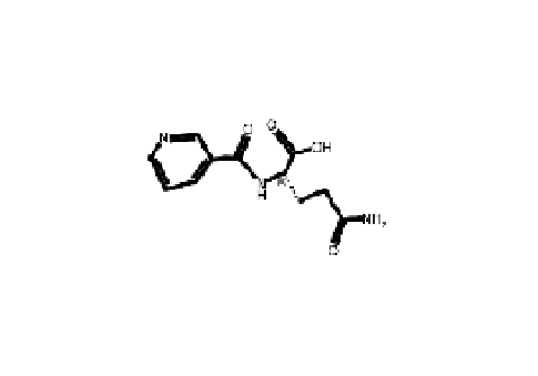 NC(=O)CC[C@H](NC(=O)c1cccnc1)C(=O)O